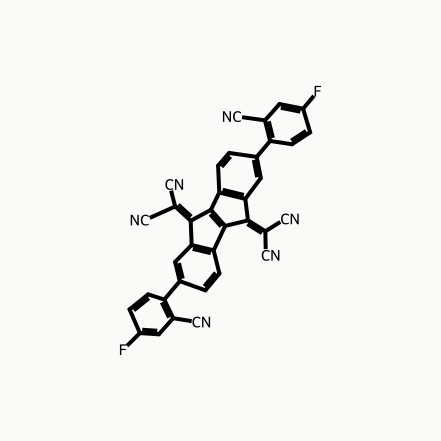 N#CC(C#N)=C1C2=C(C(=C(C#N)C#N)c3cc(-c4ccc(F)cc4C#N)ccc32)c2ccc(-c3ccc(F)cc3C#N)cc21